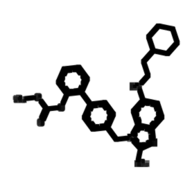 CCCCc1nc2ccc(NCCC3CCCCC3)cc2n1Cc1ccc(-c2ccccc2OC(=O)OC(C)(C)C)cc1